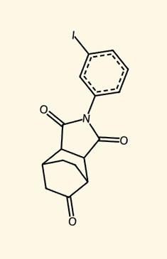 O=C1CC2CCC1C1C(=O)N(c3cccc(I)c3)C(=O)C21